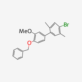 COc1cc(-c2cc(C)c(Br)cc2C)ccc1OCc1ccccc1